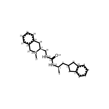 C[C@H](CC1Cc2ccccc2C1)NC(=O)NC[C@@H]1Cc2ccccc2CN1C